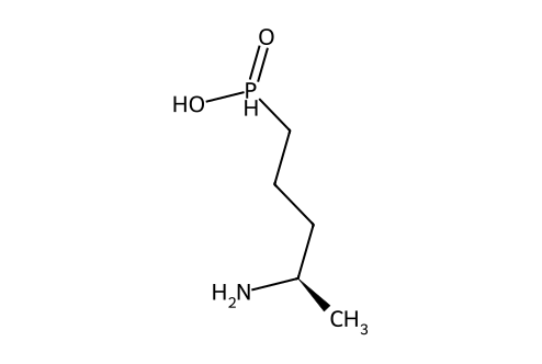 C[C@@H](N)CCC[PH](=O)O